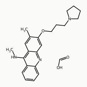 CNc1c2ccccc2nc2cc(OCCCN3CCCC3)c(C)cc12.O=CO